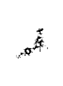 CCOc1ccc(OCC(=O)NC(C)c2cnc(OCC(F)(F)F)cn2)cc1